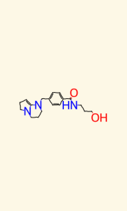 O=C(NCCCO)c1ccc(CN2CCCN3CCC=C32)cc1